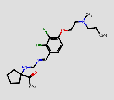 COCCN(C)CCOc1ccc(/C=N/CNC2(C(=O)OC)CCCC2)c(F)c1F